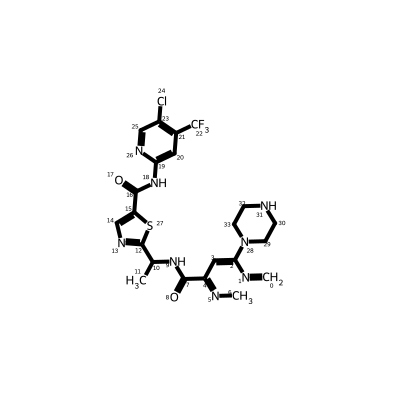 C=N/C(=C\C(=N/C)C(=O)NC(C)c1ncc(C(=O)Nc2cc(C(F)(F)F)c(Cl)cn2)s1)N1CCNCC1